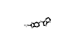 Nc1nc2ccc(Sc3cnc4ncccn34)cc2s1